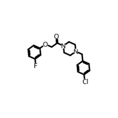 O=C(COc1cccc(F)c1)N1CCN(Cc2ccc(Cl)cc2)CC1